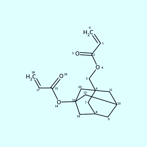 C=CC(=O)OCC12CC3CC(C1)CC(OC(=O)C=C)(C3)C2